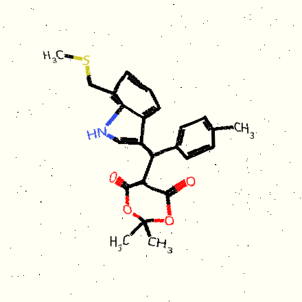 CSCc1cccc2c(C(c3ccc(C)cc3)C3C(=O)OC(C)(C)OC3=O)c[nH]c12